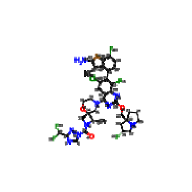 CC(C)[C@H]1N(C(=O)n2cnc(C(F)F)n2)C[C@@]12CN(c1nc(OC[C@@]34CCCN3C[C@H](F)C4)nc3c(F)c(-c4ccc(F)c5sc(N)c(C#N)c45)c(Cl)cc13)CCO2